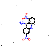 Nc1c2ccc([N+](=O)[O-])cc2nc2cccc([N+](=O)[O-])c12